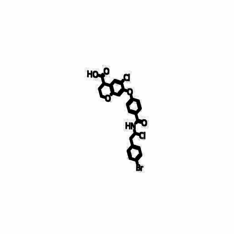 O=C(NC(Cl)Cc1ccc(Br)cc1)c1ccc(Oc2cc3c(cc2Cl)C(C(=O)O)CCO3)cc1